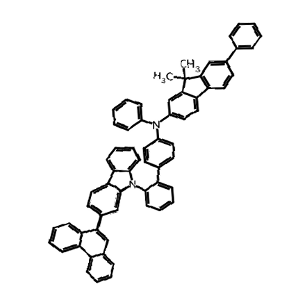 CC1(C)c2cc(-c3ccccc3)ccc2-c2ccc(N(c3ccccc3)c3ccc(-c4ccccc4-n4c5ccccc5c5ccc(-c6cc7ccccc7c7ccccc67)cc54)cc3)cc21